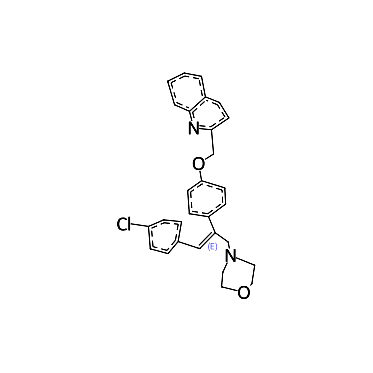 Clc1ccc(/C=C(/CN2CCOCC2)c2ccc(OCc3ccc4ccccc4n3)cc2)cc1